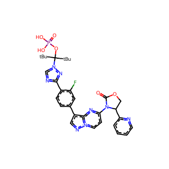 CC(C)(C)C(OP(=O)(O)O)(n1cnc(-c2ccc(-c3cnn4ccc(N5C(=O)OCC5c5ccccn5)nc34)cc2F)n1)C(C)(C)C